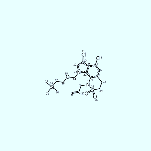 C=CCN1c2c(cc(Cl)c3c(Cl)cn(COCC[Si](C)(C)C)c23)CCS1(=O)=O